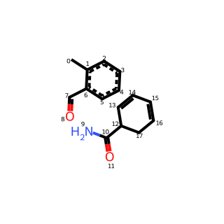 Cc1ccccc1C=O.NC(=O)C1C=CC=CC1